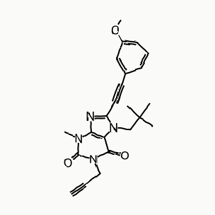 C#CCn1c(=O)c2c(nc(C#Cc3cccc(OC)c3)n2CC(C)(C)C)n(C)c1=O